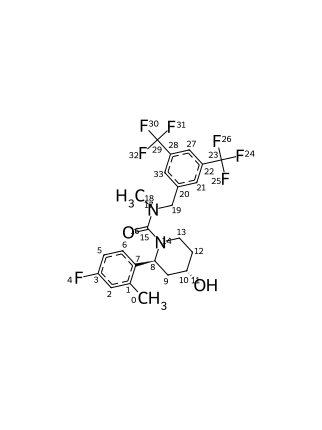 Cc1cc(F)ccc1[C@@H]1C[C@@H](O)CCN1C(=O)N(C)Cc1cc(C(F)(F)F)cc(C(F)(F)F)c1